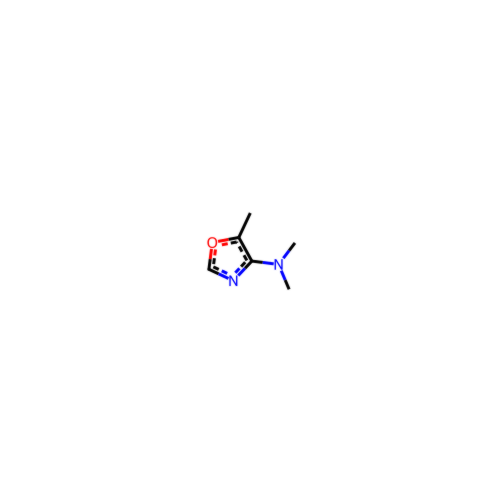 Cc1ocnc1N(C)C